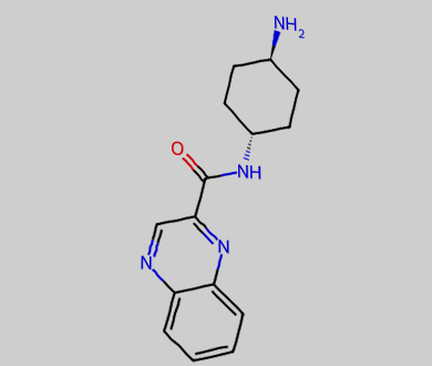 N[C@H]1CC[C@H](NC(=O)c2cnc3ccccc3n2)CC1